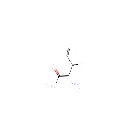 C=CC(C)[C@H](N)C(=O)OC